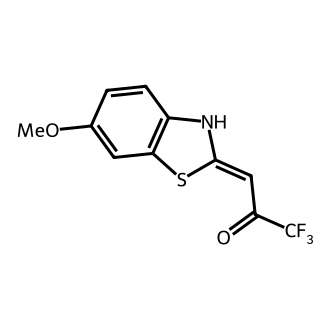 COc1ccc2c(c1)SC(=CC(=O)C(F)(F)F)N2